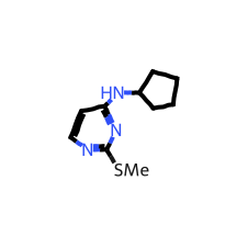 CSc1nccc(NC2CCCC2)n1